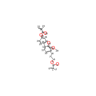 C=C(C)C(=O)OCCCc1ccc2c(oc3cc(OC(=O)C(=C)C)ccc32)c1OC